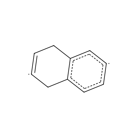 [C]1=CCc2c[c]ccc2C1